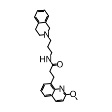 COc1ccc2cccc(CCC(=O)NCCCN3CCc4ccccc4C3)c2n1